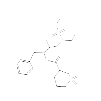 CC(C)CN(CC(O)C(Cc1ccccc1)NC(=O)C1CCCS(=O)(=O)C1)S(=O)(=O)NC(C)(C)C